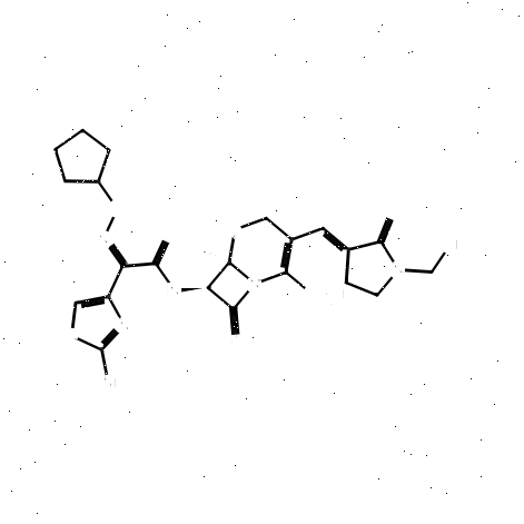 Nc1nc(/C(=N/OC2CCCC2)C(=O)N[C@@H]2C(=O)N3C(C(=O)O)=C(C=C4CCN(CC(F)(F)F)C4=O)CS[C@H]23)cs1